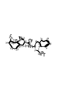 CC(C)CC[C@@H](Cc1ccccc1)NC(=O)c1cnc2c(F)cccc2c1